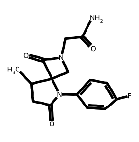 CC1CC(=O)N(c2ccc(F)cc2)C12CN(CC(N)=O)C2=O